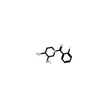 NC1CCN(C(=O)c2ccccc2I)CC1N